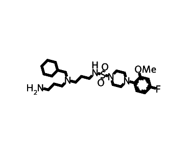 COc1cc(F)ccc1N1CCN(S(=O)(=O)NCCCN(CCCN)CC2CCCCC2)CC1